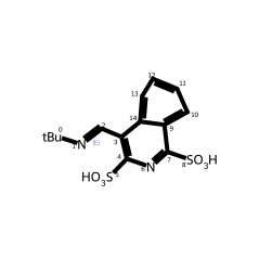 CC(C)(C)/N=C/c1c(S(=O)(=O)O)nc(S(=O)(=O)O)c2ccccc12